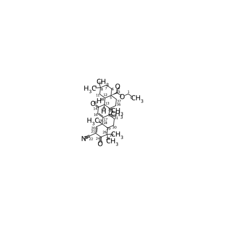 CCOC(=O)[C@]12CCC(C)(C)C[C@@H]1[C@H]1C(=O)C=C3[C@@]4(C)C=C(C#N)C(=O)C(C)(C)C4CC[C@@]3(C)[C@]1(C)CC2